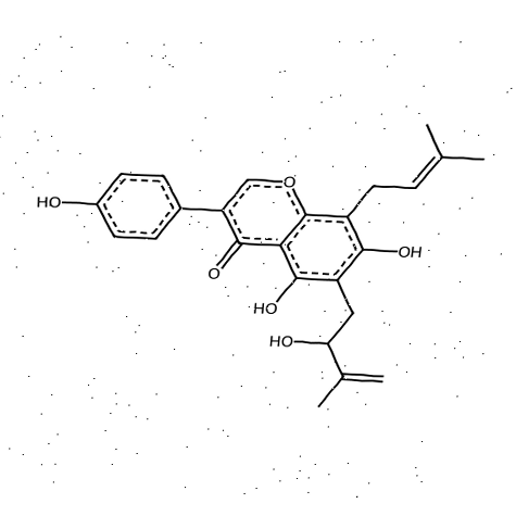 C=C(C)C(O)Cc1c(O)c(CC=C(C)C)c2occ(-c3ccc(O)cc3)c(=O)c2c1O